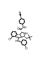 CC(C)(C)C[C@@H]1N[C@@H](C(=O)Nc2ccc(C#N)cc2)[C@H](c2cccc(Cl)c2)[C@]12C(=O)Nc1cc(Cl)ccc12